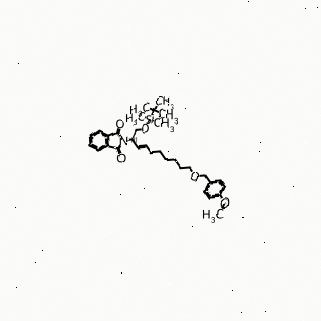 COc1ccc(COCCCCCCC=C[C@H](CO[Si](C)(C)C(C)(C)C)N2C(=O)c3ccccc3C2=O)cc1